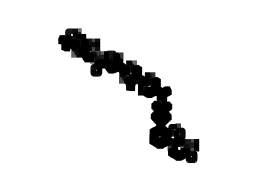 Cc1nc(-c2cc(C(=O)NCc3nc(C(C)(C)C(F)(F)F)n[nH]3)on2)ncc1-c1ncc(C(C)N2CC3(CC(c4cccc(N5CCC(=O)NC5=O)c4Cl)C3)C2)cn1